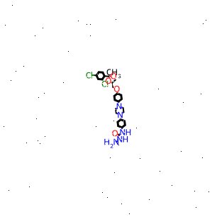 C[C@]1(c2ccc(Cl)cc2Cl)OC[C@@H](COc2ccc(N3CCN(c4ccc(NC(=O)NN)cc4)CC3)cc2)O1